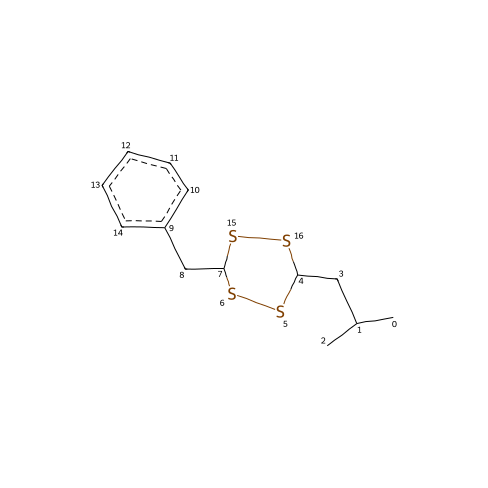 CC(C)CC1SSC(Cc2ccccc2)SS1